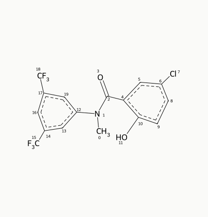 CN(C(=O)c1cc(Cl)ccc1O)c1cc(C(F)(F)F)cc(C(F)(F)F)c1